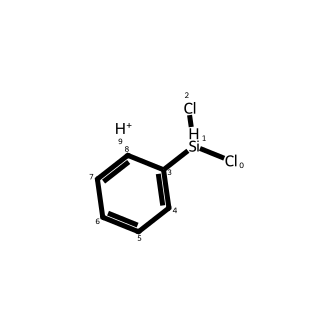 Cl[SiH](Cl)c1ccccc1.[H+]